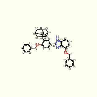 c1ccc(COc2ccc(-c3nc4c(OCc5ccccc5)cccc4[nH]3)cc2C23CC4CC(CC(C4)C2)C3)cc1